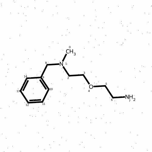 CN(CCOCCN)Cc1ccccc1